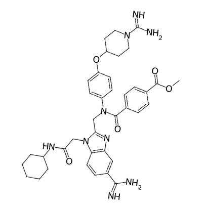 COC(=O)c1ccc(C(=O)N(Cc2nc3cc(C(=N)N)ccc3n2CC(=O)NC2CCCCC2)c2ccc(OC3CCN(C(=N)N)CC3)cc2)cc1